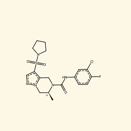 C[C@H]1Cn2ncc(S(=O)(=O)N3CCCC3)c2CN1C(=O)Nc1ccc(F)c(Cl)c1